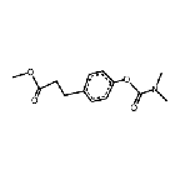 COC(=O)CCc1ccc(OC(=O)N(C)C)cc1